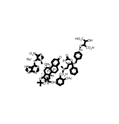 CC(=O)Oc1ccccc1C(=O)O.CC1(C)O[C@@H]2C[C@H]3[C@@H]4CCC5=CC(=O)C=C[C@]5(C)[C@@]4(F)[C@@H](O)C[C@]3(C)[C@]2(C(=O)CO)O1.CCC(=O)O[C@](Cc1ccccc1)(c1ccccc1)[C@H](C)CN(C)C.Cn1cnc([N+](=O)[O-])c1Sc1ncnc2nc[nH]c12.O=C(O)C(O)C([O][Au])C(=O)O.[Na+]